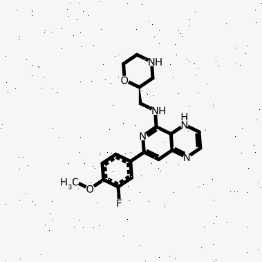 COc1ccc(C2=CC3=NC=CNC3C(NC[C@@H]3CNCCO3)=N2)cc1F